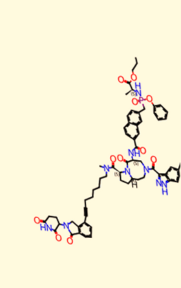 CCCOC(=O)[C@H](C)NP(=O)(Cc1ccc2ccc(C(=O)N[C@H]3CN(C(=O)c4n[nH]c5ccc(C)cc45)CC[C@H]4CC[C@@H](C(=O)N(C)CCCCCCC#Cc5cccc6c5CN(C5CCC(=O)NC5=O)C6=O)N4C3=O)cc2c1)Oc1ccccc1